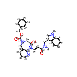 CN(Cc1cn(C)c2ccccc12)C(=O)/C=C/N1C(=O)CN(C(=O)OCc2ccccc2)Cc2cccnc21